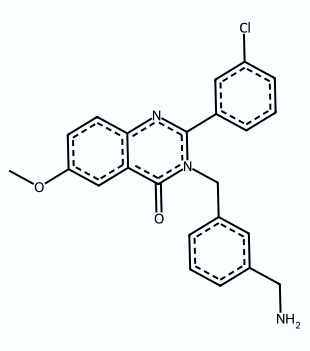 COc1ccc2nc(-c3cccc(Cl)c3)n(Cc3cccc(CN)c3)c(=O)c2c1